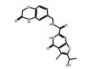 Cc1c(C(C)O)sc2nc(C(=O)NCc3ccc4c(c3)NC(=O)CO4)[nH]c(=O)c12